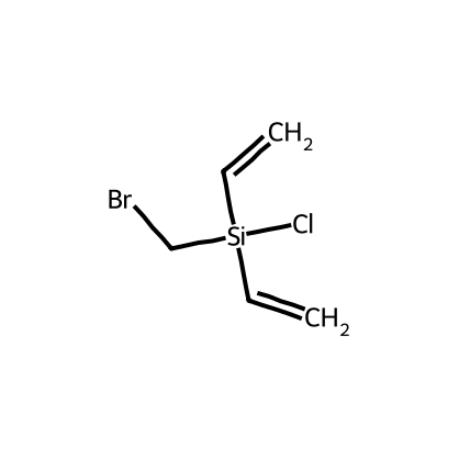 C=C[Si](Cl)(C=C)CBr